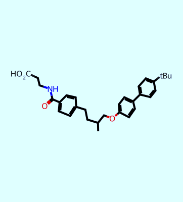 CC(CCc1ccc(C(=O)NCCC(=O)O)cc1)COc1ccc(-c2ccc(C(C)(C)C)cc2)cc1